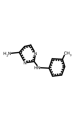 Cc1cccc(Nc2n[c]cc(N)n2)c1